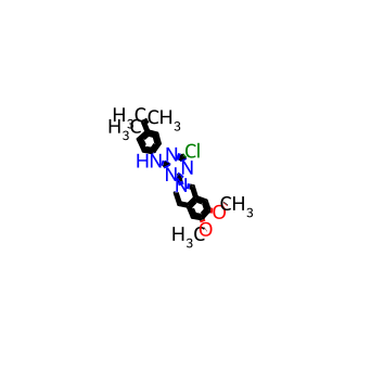 COc1cc2c(cc1OC)CN(c1nc(Cl)nc(Nc3ccc(C(C)(C)C)cc3)n1)CC2